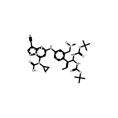 CC=C(c1ccc(Nc2cc(N(C(=O)O)C3CC3)n3ncc(C#N)c3n2)cc1C[S+](C)[O-])C(NC(=O)OC(C)(C)C)NC(=O)OC(C)(C)C